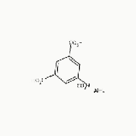 O=C(O)c1cc(C(=O)O)cc(C(=O)O)c1.[AlH3]